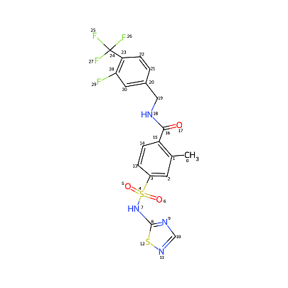 Cc1cc(S(=O)(=O)Nc2ncns2)ccc1C(=O)NCc1ccc(C(F)(F)F)c(F)c1